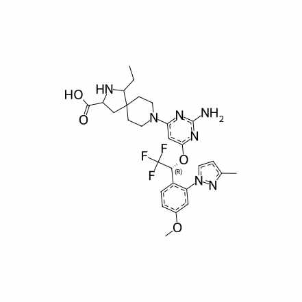 CCC1NC(C(=O)O)CC12CCN(c1cc(O[C@H](c3ccc(OC)cc3-n3ccc(C)n3)C(F)(F)F)nc(N)n1)CC2